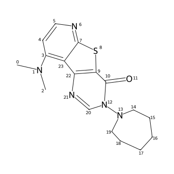 CN(C)c1ccnc2sc3c(=O)n(N4CCCCCC4)cnc3c12